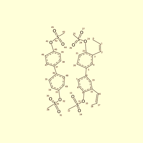 C/C=C\c1cc(-c2ccc(OS(C)(=O)=O)c(/C=C\C)c2)ccc1OS(C)(=O)=O.CS(=O)(=O)Oc1ccc(-c2ccc(OS(C)(=O)=O)cc2)cc1